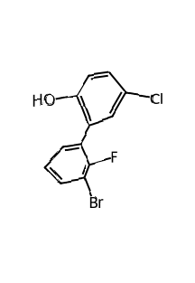 Oc1ccc(Cl)cc1-c1cccc(Br)c1F